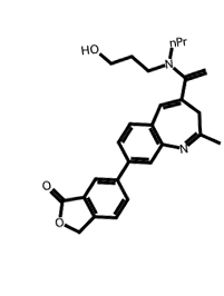 C=C(C1=Cc2ccc(-c3ccc4c(c3)C(=O)OC4)cc2N=C(C)C1)N(CCC)CCCO